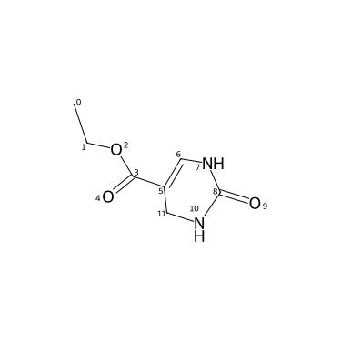 CCOC(=O)C1=CNC(=O)NC1